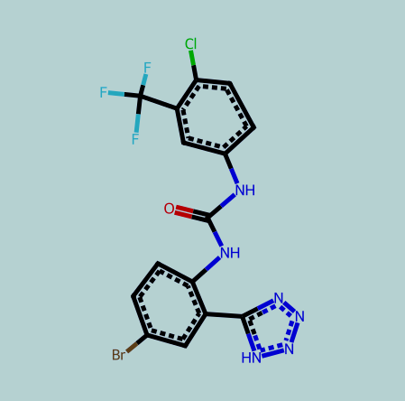 O=C(Nc1ccc(Cl)c(C(F)(F)F)c1)Nc1ccc(Br)cc1-c1nnn[nH]1